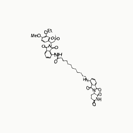 CCOc1cc(C(CS(C)(=O)=O)N2C(=O)c3cccc(NC(=O)CCCCCCCCCCCNc4cccc5c4C(=O)N(C4CCC(=O)NC4=O)C5=O)c3C2=O)ccc1OC